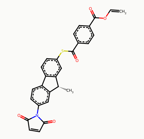 C=COC(=O)c1ccc(C(=O)Sc2ccc3c(c2)[C@H](C)c2cc(N4C(=O)C=CC4=O)ccc2-3)cc1